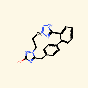 CCCn1nc(O)nc1Cc1ccc(-c2ccccc2-c2nnn[nH]2)cc1